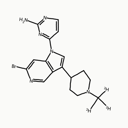 [2H]C([2H])([2H])N1CCC(c2cn(-c3ccnc(N)n3)c3cc(Br)ncc23)CC1